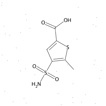 Cc1sc(C(=O)O)cc1S(N)(=O)=O